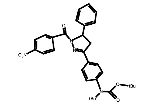 CC(C)(C)OC(=O)N(c1ccc(C2=NN(C(=O)c3ccc([N+](=O)[O-])cc3)C(c3ccccc3)C2)cc1)C(C)(C)C